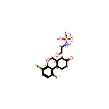 O=C1CCC2c3c(F)ccc(F)c3OC[C@@]2(OCCNS(=O)(=O)C(F)(F)F)C1